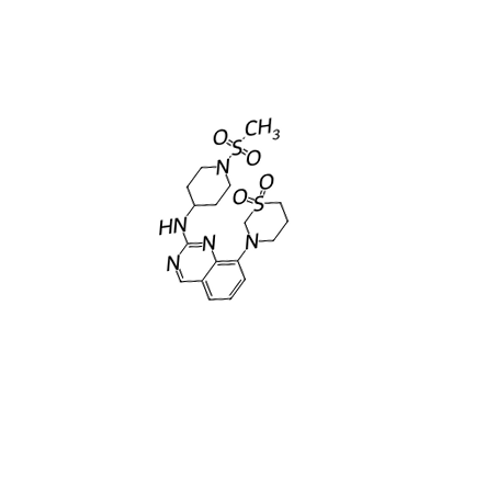 CS(=O)(=O)N1CCC(Nc2ncc3cccc(N4CCCS(=O)(=O)C4)c3n2)CC1